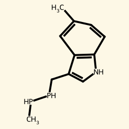 CPPCc1c[nH]c2ccc(C)cc12